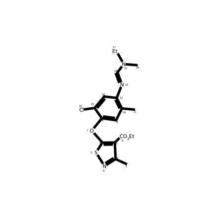 CCOC(=O)c1c(C)nsc1Oc1cc(C)c(/N=C/N(C)CC)cc1Cl